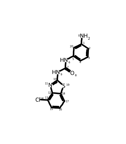 Nc1cccc(NC(=O)Nc2nc3c(Cl)cccc3s2)c1